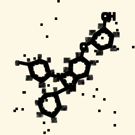 Cc1ccc(-n2c(-c3ccccc3)nc3ccc(Oc4cccc(O)c4)cc32)cc1